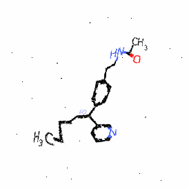 CCCC/C=C(/c1ccc(CCNC(C)=O)cc1)c1cccnc1